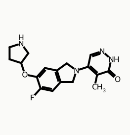 Cc1c(N2Cc3cc(F)c(OC4CCNC4)cc3C2)cn[nH]c1=O